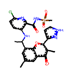 Cc1cc(C(C)Nc2ccc(Cl)nc2C(=O)NS(C)(=O)=O)c2oc(-c3cc[nH]n3)c(C)c(=O)c2c1